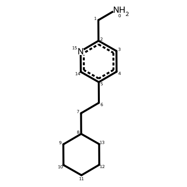 NCc1ccc(CCC2CCCCC2)cn1